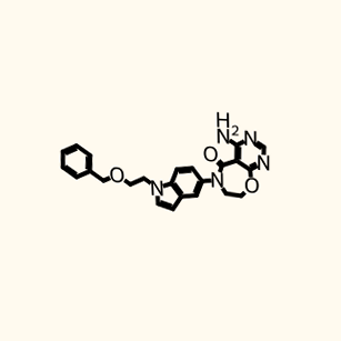 Nc1ncnc2c1C(=O)N(c1ccc3c(ccn3CCOCc3ccccc3)c1)CCO2